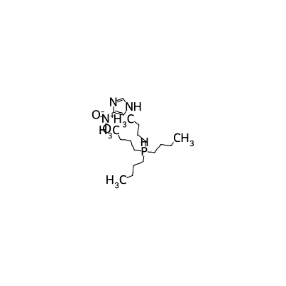 CCCC[PH](CCCC)(CCCC)CCCC.O=[N+]([O-])c1c[nH]cn1